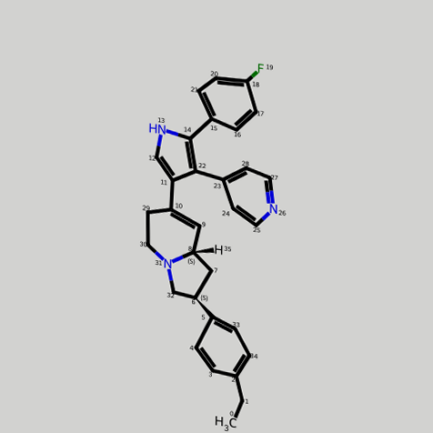 CCc1ccc([C@@H]2C[C@H]3C=C(c4c[nH]c(-c5ccc(F)cc5)c4-c4ccncc4)CCN3C2)cc1